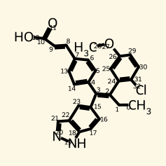 CC/C(=C(/c1ccc(/C=C/C(=O)O)cc1)c1ccc2[nH]ncc2c1)c1cc(OC)ccc1Cl